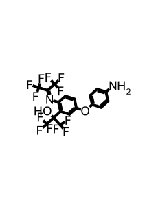 Nc1ccc(Oc2ccc(N=C(C(F)(F)F)C(F)(F)F)c(C(O)(C(F)(F)F)C(F)(F)F)c2)cc1